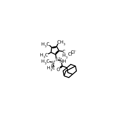 CC1=C(C)C(C)[C]([Ti+2]([NH]C(=O)C23CC4CC(CC(C4)C2)C3)[SiH](C)C)=C1C.[Cl-].[Cl-]